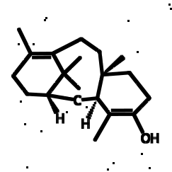 CC1=C2CC[C@]3(C)CCC(O)=C(C)[C@H]3C[C@H](CC1)C2(C)C